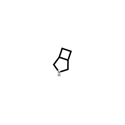 [CH]1CC2CNCC12